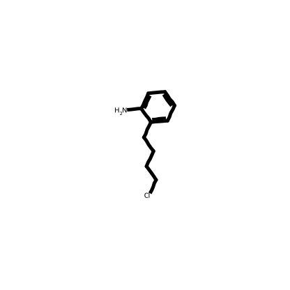 Nc1ccccc1CCCCCl